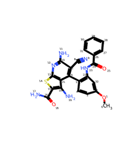 COc1ccc(-c2c(C#N)c(N)nc3sc(C(N)=O)c(N)c23)c(NC(=O)c2ccccc2)c1